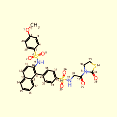 COc1ccc(S(=O)(=O)Nc2ccc3ccccc3c2-c2ccc(S(=O)(=O)NCC(=O)N3CCSC3=O)cc2)cc1